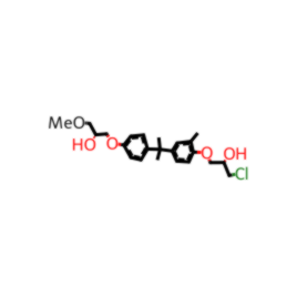 COC[C@@H](O)COc1ccc(C(C)(C)c2ccc(OC[C@@H](O)CCl)c(C)c2)cc1